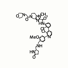 COc1cc(-c2nccc(-c3cccc(NC(=O)c4nc5c(n4C)CCN(C(=O)CN4CCOCC4)C5)c3Cl)c2Cl)ccc1CNCC1CCC(=O)N1